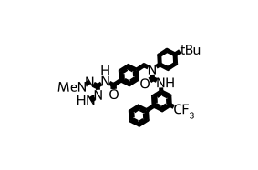 CN/N=C(\N=N)NC(=O)c1ccc(CN(C(=O)Nc2cc(-c3ccccc3)cc(C(F)(F)F)c2)C2CCC(C(C)(C)C)CC2)cc1